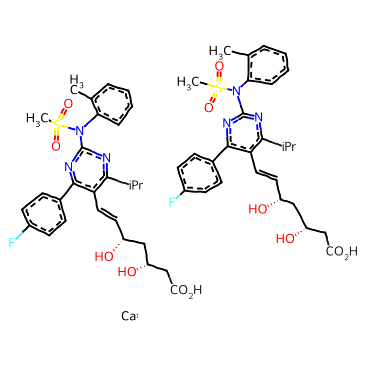 Cc1ccccc1N(c1nc(-c2ccc(F)cc2)c(C=C[C@@H](O)C[C@@H](O)CC(=O)O)c(C(C)C)n1)S(C)(=O)=O.Cc1ccccc1N(c1nc(-c2ccc(F)cc2)c(C=C[C@@H](O)C[C@@H](O)CC(=O)O)c(C(C)C)n1)S(C)(=O)=O.[Ca]